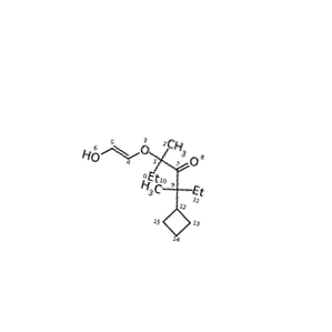 CCC(C)(OC=CO)C(=O)C(C)(CC)C1CCC1